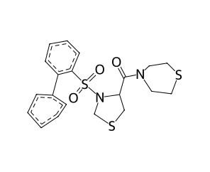 O=C(C1CSCN1S(=O)(=O)c1ccccc1-c1ccccc1)N1CCSCC1